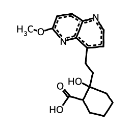 COc1ccc2nccc(CCC3(O)CCCCC3C(=O)O)c2n1